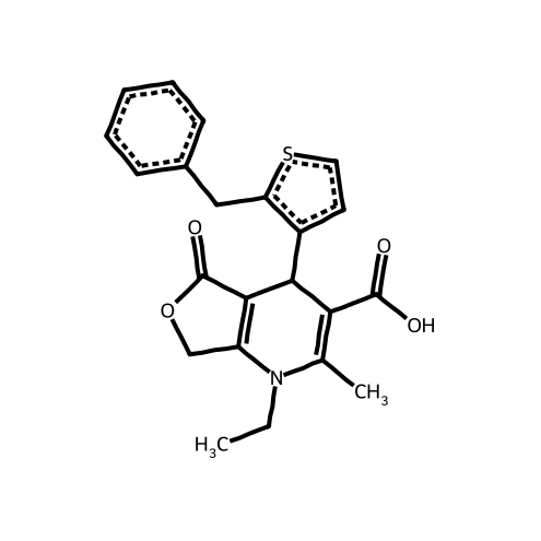 CCN1C(C)=C(C(=O)O)C(c2ccsc2Cc2ccccc2)C2=C1COC2=O